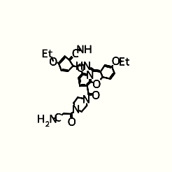 CCOC1=CC(=C=N)C(Oc2ccc(C(=O)N3CCN(C(=O)CCN)CC3)c(OC3C=CC(OCC)=CC3=C=N)n2)C=C1